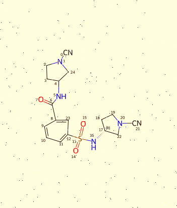 N#CN1CCC(NC(=O)c2cccc(S(=O)(=O)N[C@@H]3CCN(C#N)C3)c2)C1